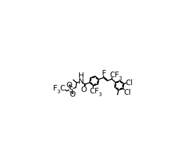 Cc1cc(C(/C=C(\F)c2ccc(C(=O)NC(C)CS(=O)(=O)CC(F)(F)F)c(C(F)(F)F)c2)C(F)(F)F)cc(Cl)c1Cl